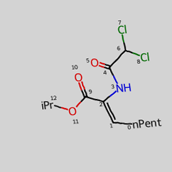 CCCCCC=C(NC(=O)C(Cl)Cl)C(=O)OC(C)C